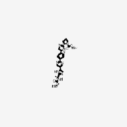 C[C@H](NC(=O)OC(C)(C)C)c1ncc(-c2cnc(-c3ccc(C4CN=C([C@@H]5CCCN5C(=O)OC(C)(C)C)N4)cc3)nc2)[nH]1